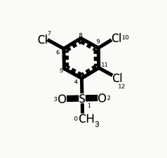 CS(=O)(=O)c1cc(Cl)cc(Cl)c1Cl